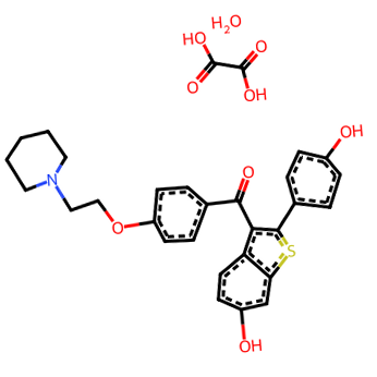 O.O=C(O)C(=O)O.O=C(c1ccc(OCCN2CCCCC2)cc1)c1c(-c2ccc(O)cc2)sc2cc(O)ccc12